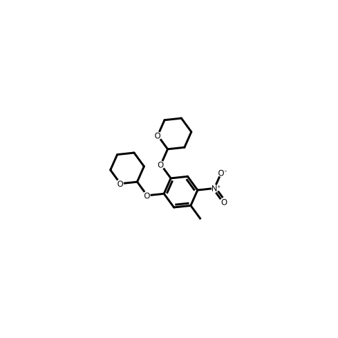 Cc1cc(OC2CCCCO2)c(OC2CCCCO2)cc1[N+](=O)[O-]